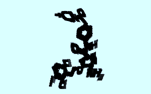 CN1CCN(C(=O)c2ccc(NC(=O)c3cc(OCCc4c(Cl)ccc(F)c4Cl)c(N)nn3)cc2)CC1